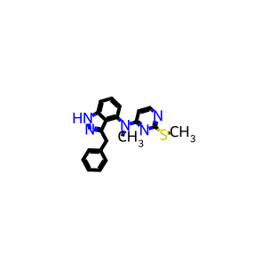 CSc1nccc(N(C)c2cccc3[nH]nc(Cc4ccccc4)c23)n1